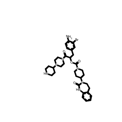 Nc1ccc(CC(OC(=O)N2CCC(N3CCc4ccccc4NC3=O)CC2)C(=O)N2CCN(C3CCNCC3)CC2)cc1Br